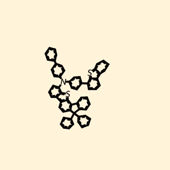 c1ccc(-c2ccc(N(c3ccc(-c4cccc5c4sc4ccccc45)cc3)c3cccc4c3sc3c5c(ccc34)C(c3ccccc3)(c3ccccc3)c3ccccc3-5)cc2)cc1